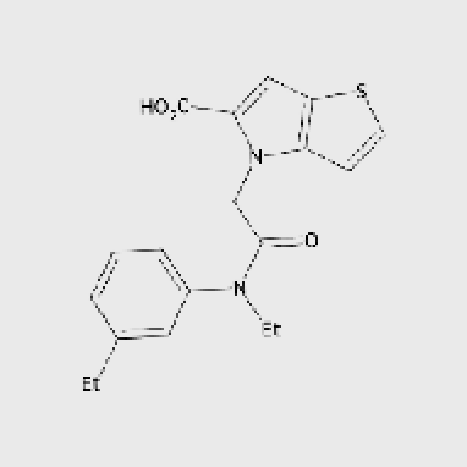 CCc1cccc(N(CC)C(=O)Cn2c(C(=O)O)cc3sccc32)c1